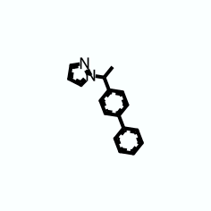 CC(c1ccc(-c2ccccc2)cc1)n1cccn1